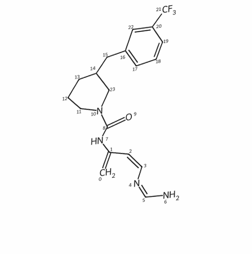 C=C(/C=C\N=C/N)NC(=O)N1CCCC(Cc2cccc(C(F)(F)F)c2)C1